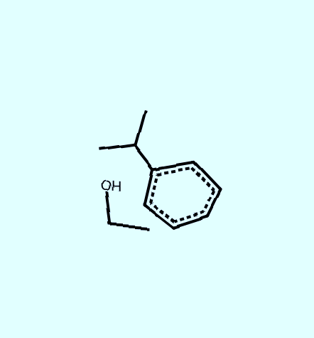 CC(C)c1ccccc1.CCO